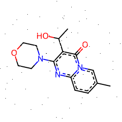 Cc1ccc2nc(N3CCOCC3)c(C(C)O)c(=O)n2c1